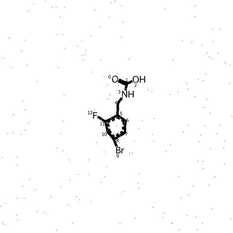 O=C(O)NCc1ccc(Br)cc1F